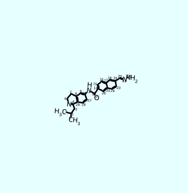 CC(C)CC1=NCCc2cc(NC(=O)c3ccc4cc(C=NN)ccc4c3)ccc21